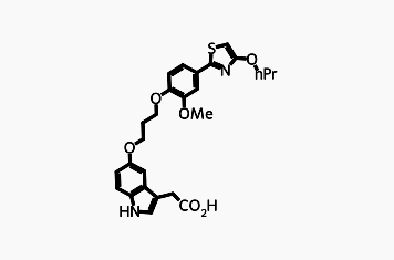 CCCOc1csc(-c2ccc(OCCCOc3ccc4[nH]cc(CC(=O)O)c4c3)c(OC)c2)n1